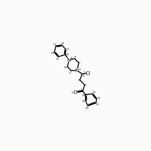 O=C(CCC(Cl)N1CCN(c2ccccc2)CC1)c1ccccc1